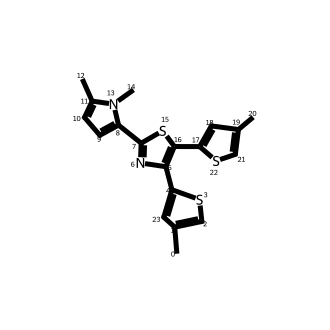 Cc1csc(-c2nc(-c3ccc(C)n3C)sc2-c2cc(C)cs2)c1